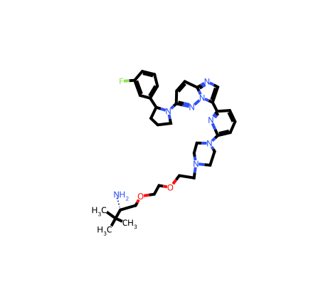 CC(C)(C)[C@H](N)COCCOCCN1CCN(c2cccc(-c3cnc4ccc(N5CCCC5c5cccc(F)c5)nn34)n2)CC1